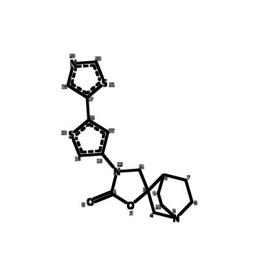 O=C1OC2(CN3CCC2CC3)CN1c1csc(-c2cncs2)c1